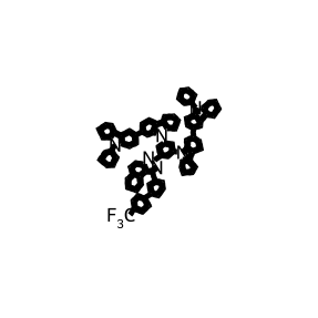 FC(F)(F)c1ccc(-c2cccc(-c3nc(-c4cc(-n5c6ccccc6c6ccc(-c7ccc8c(c7)c7ccccc7n8-c7ccccc7)cc65)cc(-n5c6ccccc6c6ccc(-c7ccc8c(c7)c7ccccc7n8-c7ccccc7)cc65)c4)nc4ccc5ccccc5c34)c2)cc1